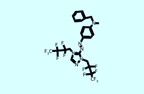 CN(Cc1ccccc1)c1ccc(/N=N/c2n(CC(F)(F)C(F)(F)C(F)(F)F)nc[n+]2CC(F)(F)C(F)(F)C(F)(F)F)cc1